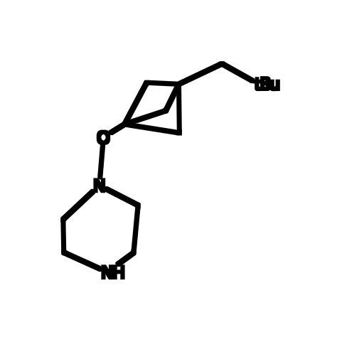 CC(C)(C)CC12CC(ON3CCNCC3)(C1)C2